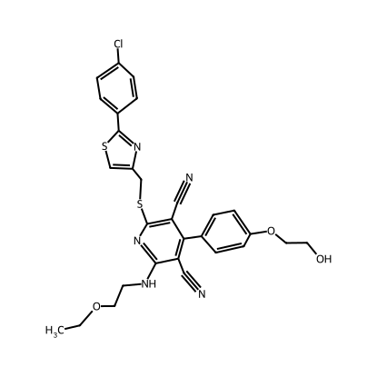 CCOCCNc1nc(SCc2csc(-c3ccc(Cl)cc3)n2)c(C#N)c(-c2ccc(OCCO)cc2)c1C#N